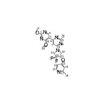 COc1ncc(-c2cc(N3CC(Oc4ccnc(C)c4)C(F)(F)C3)nc(C)n2)c(OC)n1